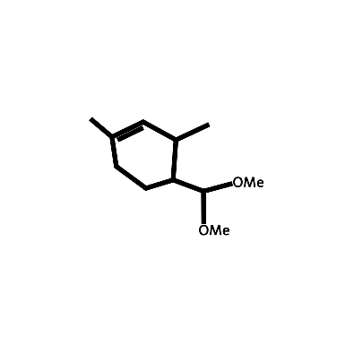 COC(OC)C1CCC(C)=CC1C